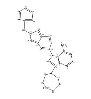 Nc1ncnn2c(C3CCCNCC3)cc(-c3ccc4cn(Cc5ccccc5)nc4c3)c12